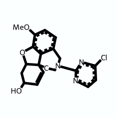 COc1ccc2c3c1OC1CC(O)C=CC31CCN(c1nccc(Cl)n1)C2